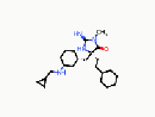 CN1C(=N)N[C@](CCC2CCCCC2)(C[C@H]2CCC[C@H](NCC3CC3)C2)C1=O